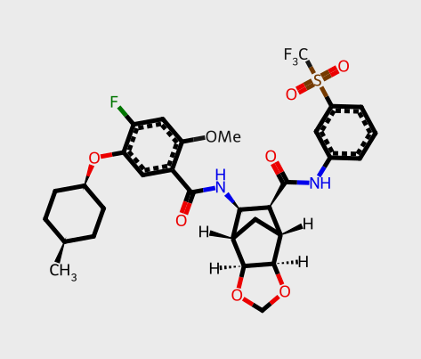 COc1cc(F)c(O[C@H]2CC[C@@H](C)CC2)cc1C(=O)N[C@@H]1[C@@H]2C[C@@H]([C@H]3OCO[C@@H]23)[C@@H]1C(=O)Nc1cccc(S(=O)(=O)C(F)(F)F)c1